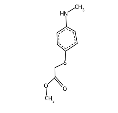 CNc1ccc(SCC(=O)OC)cc1